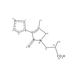 CC1=C(c2ccsc2)C(=O)N(CC(C)C(=O)O)C1